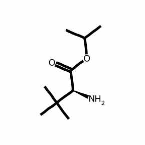 CC(C)OC(=O)[C@@H](N)C(C)(C)C